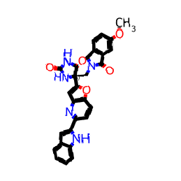 COc1ccc2c(c1)C(=O)N(C[C@@]1(c3cc4nc(-c5cc6ccccc6[nH]5)ccc4o3)NC(=O)NC1=O)C2